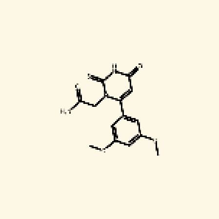 COc1cc(OC)cc(-c2cc(=O)[nH]c(=S)n2CC(N)=O)c1